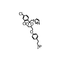 CN(C)CCc1ccc(OCC2COC(Cn3ccnc3)(c3ccc(Cl)cc3Cl)O2)cc1